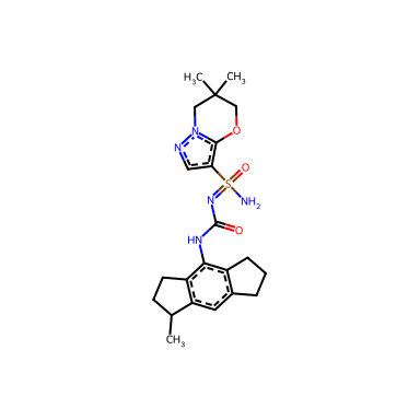 CC1CCc2c1cc1c(c2NC(=O)N=S(N)(=O)c2cnn3c2OCC(C)(C)C3)CCC1